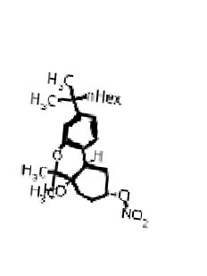 CCCCCCC(C)(C)c1ccc2c(c1)OC(C)(C)[C@@]1(O)CC[C@@H](O[N+](=O)[O-])C[C@H]21